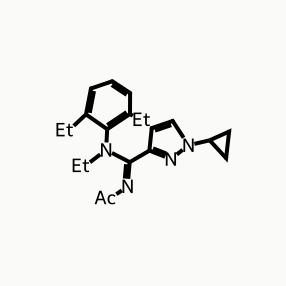 CCc1cccc(CC)c1N(CC)/C(=N\C(C)=O)c1ccn(C2CC2)n1